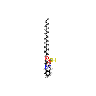 CCCCCCCCCCCCCCCCCCOCC(C[N+]1=Cc2ccccc2CC1)OS